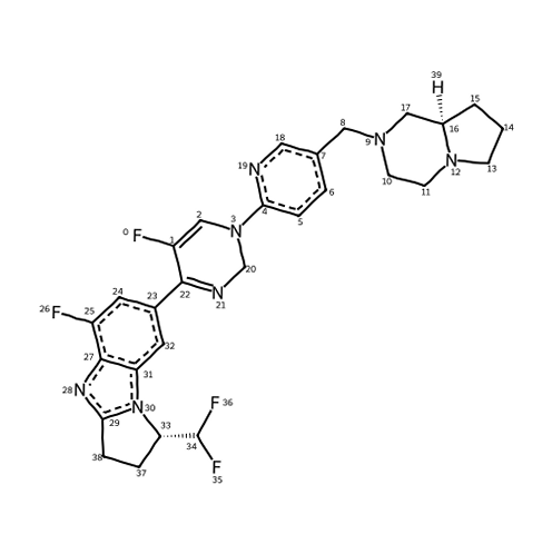 FC1=CN(c2ccc(CN3CCN4CCC[C@@H]4C3)cn2)CN=C1c1cc(F)c2nc3n(c2c1)[C@H](C(F)F)CC3